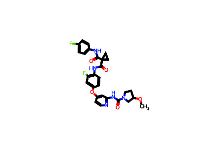 COC1CCN(C(=O)Nc2cc(Oc3ccc(NC(=O)C4(C(=O)Nc5ccc(F)cc5)CC4)c(F)c3)ccn2)C1